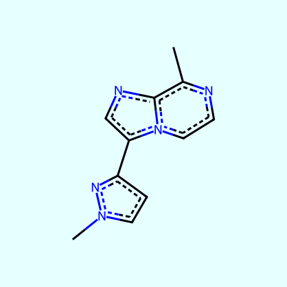 Cc1nccn2c(-c3ccn(C)n3)cnc12